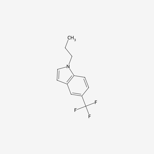 CCCn1ccc2cc(C(F)(F)F)ccc21